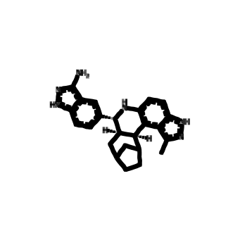 Cc1n[nH]c2ccc3c(c12)[C@H]1C2CCC(C2)C[C@H]1[C@H](c1ccc2[nH]nc(N)c2c1)N3